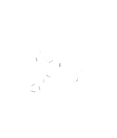 CCCCN(CC(=O)O)C(=O)[C@H](CC(=O)NC[C@@H]1CCCN(C(=N)N)C1)NC(=O)OCc1ccccc1